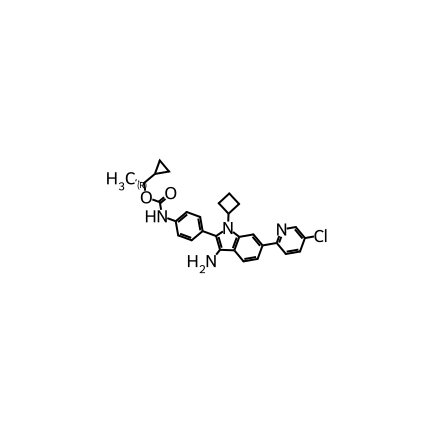 C[C@@H](OC(=O)Nc1ccc(-c2c(N)c3ccc(-c4ccc(Cl)cn4)cc3n2C2CCC2)cc1)C1CC1